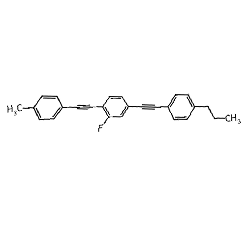 CCCc1ccc(C#Cc2ccc(C#Cc3ccc(C)cc3)c(F)c2)cc1